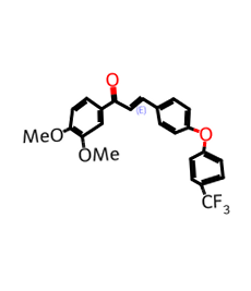 COc1ccc(C(=O)/C=C/c2ccc(Oc3ccc(C(F)(F)F)cc3)cc2)cc1OC